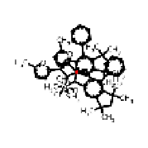 Cc1ccc(C2=Cc3c(cc4c(c3-c3ccccc3)C(C)(C)CC4(C)C)[CH]2[Zr]([CH3])([CH3])(=[SiH2])([Cl])([Cl])[CH]2C(c3ccc(C)o3)=Cc3c2cc2c(c3-c3ccccc3)C(C)(C)CC2(C)C)o1